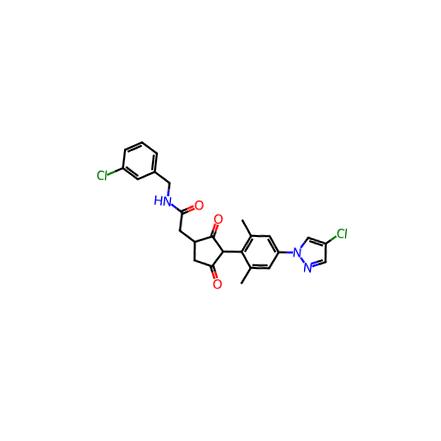 Cc1cc(-n2cc(Cl)cn2)cc(C)c1C1C(=O)CC(CC(=O)NCc2cccc(Cl)c2)C1=O